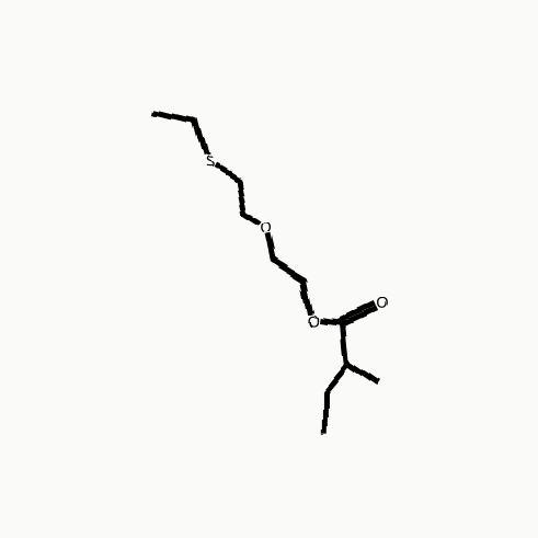 CCSCCOCCOC(=O)C(C)CC